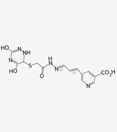 O=C(CSC1NN=C(O)N=C1O)N/N=C/C=C/c1cncc(C(=O)O)c1